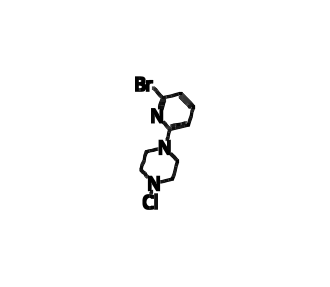 ClN1CCN(c2cccc(Br)n2)CC1